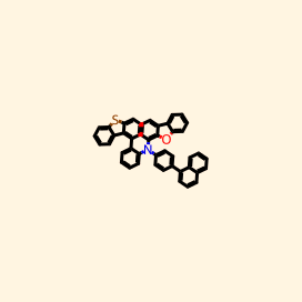 c1ccc(N(c2ccc(-c3cccc4ccccc34)cc2)c2cccc3c2oc2ccccc23)c(-c2cccc3sc4ccccc4c23)c1